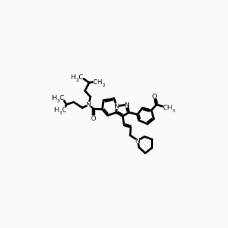 CC(=O)c1cccc(-c2nn3ccc(C(=O)N(CCC(C)C)CCC(C)C)cc3c2/C=C/CN2CCCCC2)c1